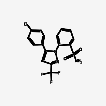 NS(=O)(=O)c1ccccc1-n1nc(C(F)(F)F)cc1-c1ccc(Cl)cc1